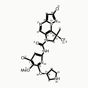 COc1c(Cl)cc(NC(=O)N2C[C@](C)(C(F)(F)F)c3c2cnc2cc(Cl)nn32)nc1O[C@H]1CCNC1